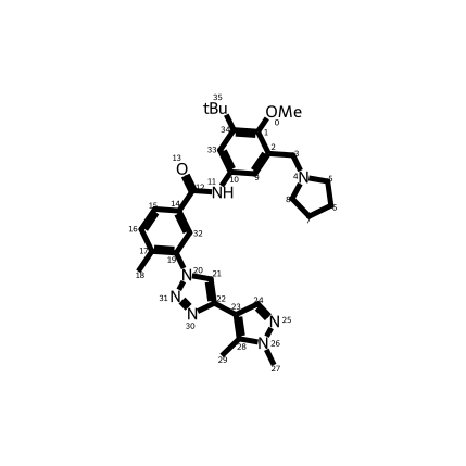 COc1c(CN2CCCC2)cc(NC(=O)c2ccc(C)c(-n3cc(-c4cnn(C)c4C)nn3)c2)cc1C(C)(C)C